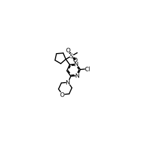 CS(=O)(=O)C1(c2cc(N3CCOCC3)nc(Cl)n2)CCCC1